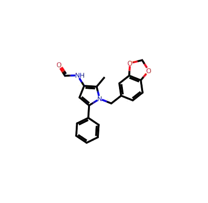 Cc1c(NC=O)cc(-c2ccccc2)n1Cc1ccc2c(c1)OCO2